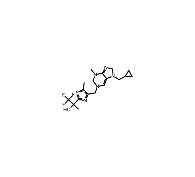 Cc1sc(C(C)(O)C(F)(F)F)nc1CN1C=C2C(=NCN2CC2CC2)N(C)C1